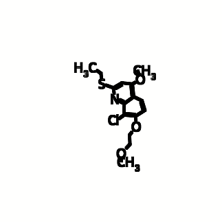 CCSc1cc(OC)c2ccc(OCCOC)c(Cl)c2n1